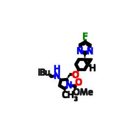 CCC(C)CN[C@H]1C[C@@H](C)N(C(=O)OC)[C@H]1CO[C@H]1CC[C@@]2(c3ncc(F)cn3)C[C@H]2C1